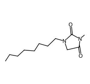 CCCCCCCCN1CC(=O)N(C)C1=O